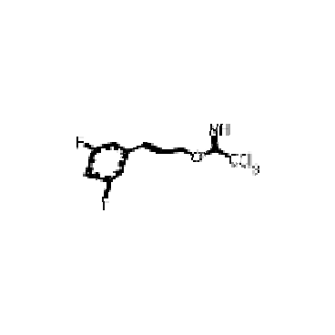 N=C(OC/C=C/c1cc(F)cc(F)c1)C(Cl)(Cl)Cl